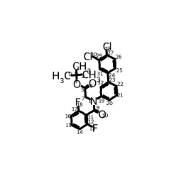 CC(C)(C)OC(=O)CN(C(=O)c1c(F)cccc1F)c1cccc(-c2ccc(Cl)c(Cl)c2)c1